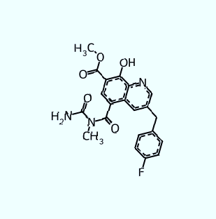 COC(=O)c1cc(C(=O)N(C)C(N)=O)c2cc(Cc3ccc(F)cc3)cnc2c1O